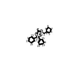 S=P(OCc1ccccc1)(OCc1ccccc1)SCc1ccccc1